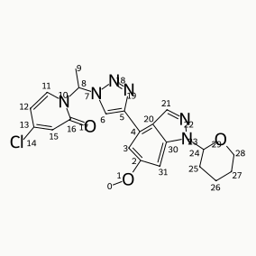 COc1cc(-c2cn(C(C)n3ccc(Cl)cc3=O)nn2)c2cnn(C3CCCCO3)c2c1